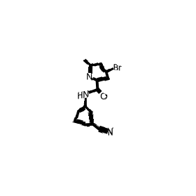 Cc1cc(Br)cc(C(=O)Nc2cccc(C#N)c2)n1